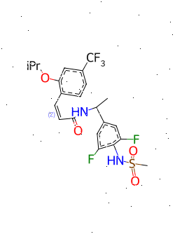 CC(C)Oc1cc(C(F)(F)F)ccc1/C=C\C(=O)NC(C)c1cc(F)c(NS(C)(=O)=O)c(F)c1